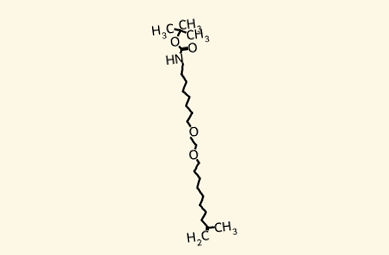 C=C(C)CCCCCCCCOCCOCCCCCCCCNC(=O)OC(C)(C)C